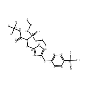 CCOP(=O)(OCC)C(Cc1nc(Cc2ccc(C(F)(F)F)cc2)no1)C(=O)OC(C)(C)C